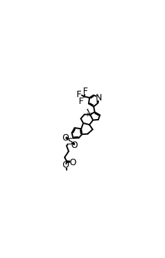 COC(=O)CCCS(=O)(=O)c1ccc2c(c1)CCC1C2CC[C@]2(C)C(c3cncc(C(F)(F)F)c3)=CCC12